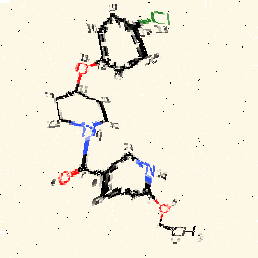 CCOc1ccc(C(=O)N2CCC(Oc3ccc(Cl)cc3)CC2)cn1